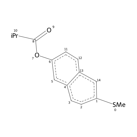 CSc1ccc2cc(OC(=O)C(C)C)ccc2c1